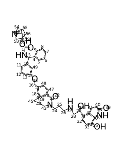 O=C(N[C@@H](c1ccccc1)c1cccc(OCc2ccc(C(=O)N(CCCNC[C@H](O)c3ccc(O)c4[nH]c(=O)ccc34)CC3CC3)cc2)c1)O[C@H]1CN2CCC1CC2